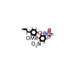 C=CCc1ccc(Oc2cc([N+](=O)[O-])ccc2NS(C)(=O)=O)c(OC)c1